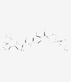 Cn1c(-c2c[nH]nc2C(F)(F)F)cnc1C(=O)Nc1ccc(C(=O)N2CCN(C(=O)OC(C)(C)C)CC2)c(F)c1